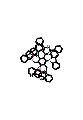 c1ccc(-c2cc(-c3c(-n4c5ccccc5c5ccccc54)c(Cn4c5ccccc5c5ccccc54)c(-n4c5cccnc5c5ncccc54)c(Cn4c5ccccc5c5ccccc54)c3-n3c4ccccc4c4ccccc43)nc(-c3ccccc3)n2)cc1